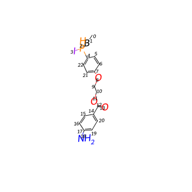 CB=[PH](I)c1ccc(OCCOC(=O)c2ccc(N)cc2)cc1